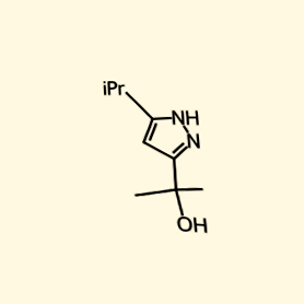 CC(C)c1cc(C(C)(C)O)n[nH]1